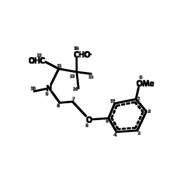 COc1cccc(OCCN(C)C(C=O)C(C)(C)[C]=O)c1